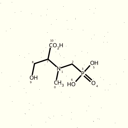 CN(CP(=O)(O)O)C(CO)C(=O)O